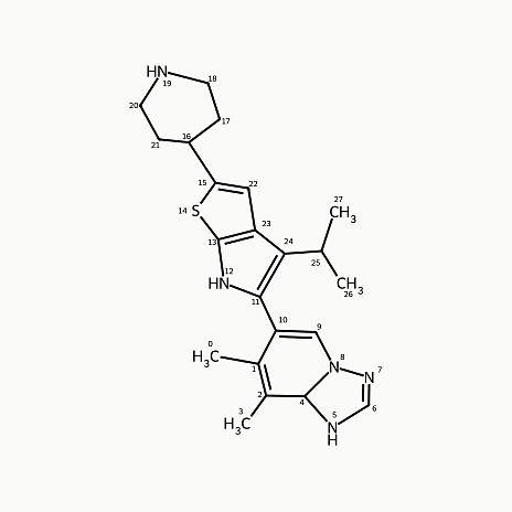 CC1=C(C)C2NC=NN2C=C1c1[nH]c2sc(C3CCNCC3)cc2c1C(C)C